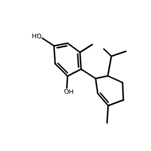 CC1=CC(c2c(C)cc(O)cc2O)C(C(C)C)CC1